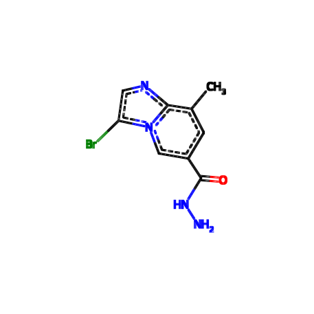 Cc1cc(C(=O)NN)cn2c(Br)cnc12